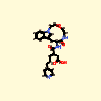 O=C(O)C[C@@H](CCCc1ccncc1)C(=O)N[C@H]1Cc2cn(c3ccccc23)CCOCCNC1=O